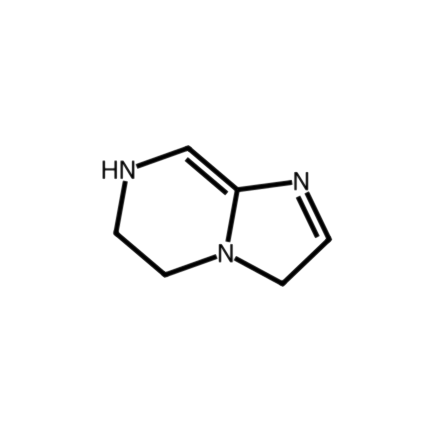 C1=NC2=CNCCN2C1